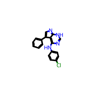 Clc1ccc(Nc2nc[nH]c3ncc(-c4ccccc4)c2-3)cc1